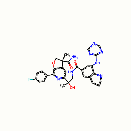 C[C@]1(C(N)=O)COc2c1cc([C@@](O)(CNC(=O)c1cc(Nc3ncncn3)c3ncccc3c1)C(F)(F)F)nc2-c1ccc(F)cc1